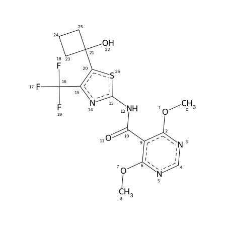 COc1ncnc(OC)c1C(=O)Nc1nc(C(F)(F)F)c(C2(O)CCC2)s1